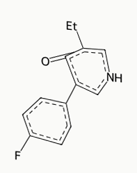 CCc1c[nH]cc(-c2ccc(F)cc2)c1=O